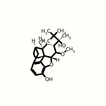 COC1[C@@H]([C@](C)(O)C(C)(C)C)C[C@]2(C)[C@@H]3CCC[C@@]24c2c(ccc(O)c2O[C@@H]14)C3